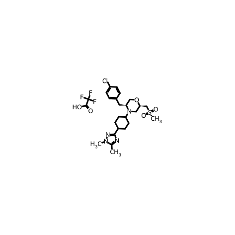 Cc1nc(C2CCC(N3C[C@H](CS(C)(=O)=O)OC[C@@H]3Cc3ccc(Cl)cc3)CC2)nn1C.O=C(O)C(F)(F)F